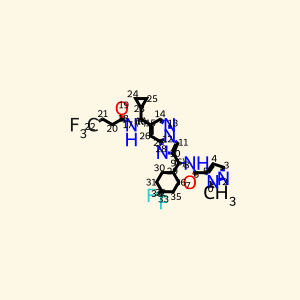 Cn1nccc1C(=O)N[C@H](c1cn2ncc([C@H](NC(=O)CCC(F)(F)F)C3CC3)cc2n1)C1CCC(F)(F)CC1